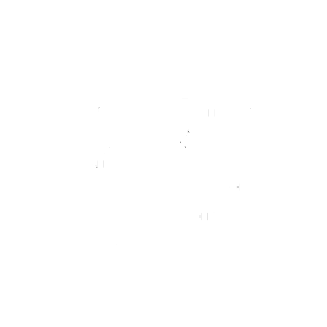 O=C1CC[C@@]2(O)[C@H]3Cc4ccc(O)c5c4[C@@]2(CCN3CC2CC2)[C@H]1O5.O=CO